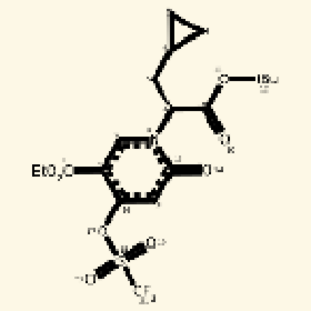 CCOC(=O)c1cn([C@@H](CC2CC2)C(=O)OC(C)(C)C)c(=O)cc1OS(=O)(=O)C(F)(F)F